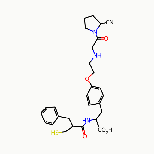 N#CC1CCCN1C(=O)CNCCOc1ccc(CC(NC(=O)C(CS)Cc2ccccc2)C(=O)O)cc1